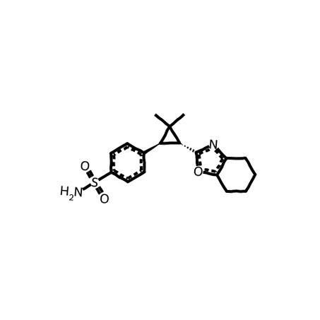 CC1(C)[C@H](c2ccc(S(N)(=O)=O)cc2)[C@H]1c1nc2c(o1)CCCC2